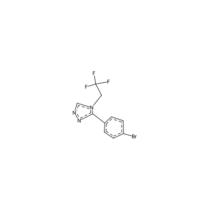 FC(F)(F)Cn1cnnc1-c1ccc(Br)cc1